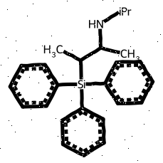 CC(C)NC(C)C(C)[Si](c1ccccc1)(c1ccccc1)c1ccccc1